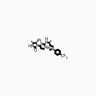 CC(C)[C@H]1[C@H](C)NC(=O)N1c1ccnc(N[C@@H](C)c2cn(-c3ccc(C(F)(F)F)cc3)cn2)n1